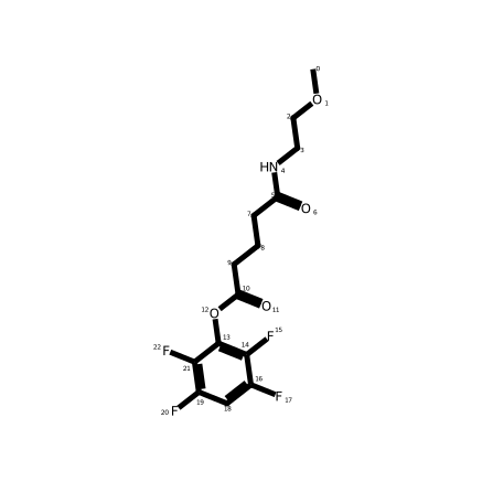 COCCNC(=O)CCCC(=O)Oc1c(F)c(F)cc(F)c1F